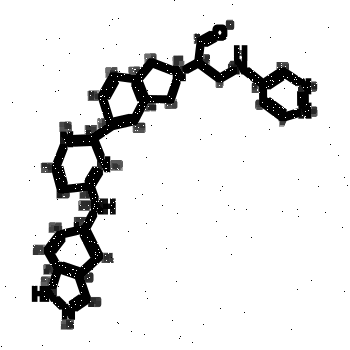 O=CC(CNc1ccnnc1)N1Cc2ccc(-c3nccc(Nc4ccc5[nH]ncc5c4)n3)cc2C1